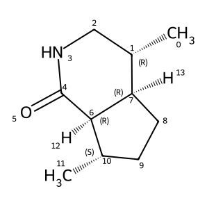 C[C@H]1CNC(=O)[C@H]2[C@@H]1CC[C@@H]2C